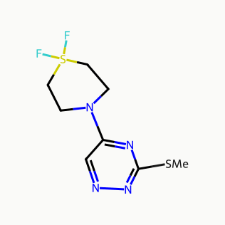 CSc1nncc(N2CCS(F)(F)CC2)n1